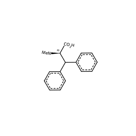 CN[C@@H](C(=O)O)C(c1ccccc1)c1ccccc1